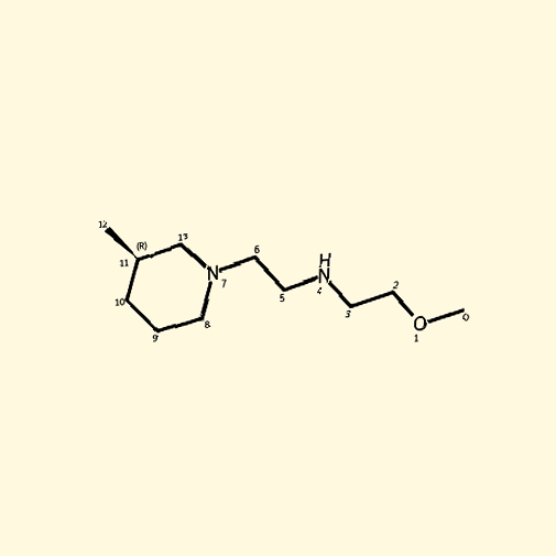 COCCNCCN1CCC[C@@H](C)C1